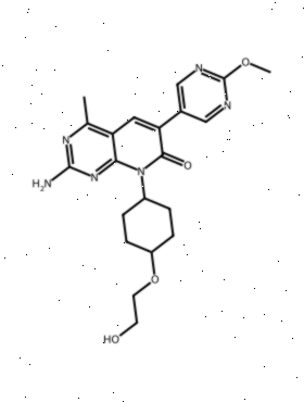 COc1ncc(-c2cc3c(C)nc(N)nc3n(C3CCC(OCCO)CC3)c2=O)cn1